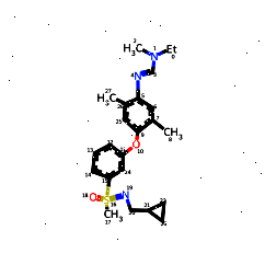 CCN(C)C=Nc1cc(C)c(Oc2cccc(S(C)(=O)=NCC3CC3)c2)cc1C